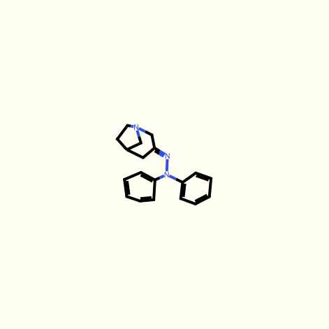 c1ccc(N(N=C2CC3CCN(C2)C3)c2ccccc2)cc1